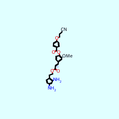 COc1cc(/C=C/C(=O)OCCc2ccc(N)cc2N)ccc1OC(=O)c1ccc(OCCCC#N)cc1